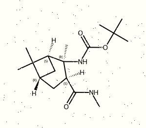 CNC(=O)[C@H]1C[C@H]2C[C@@H](C2(C)C)[C@@]1(C)NC(=O)OC(C)(C)C